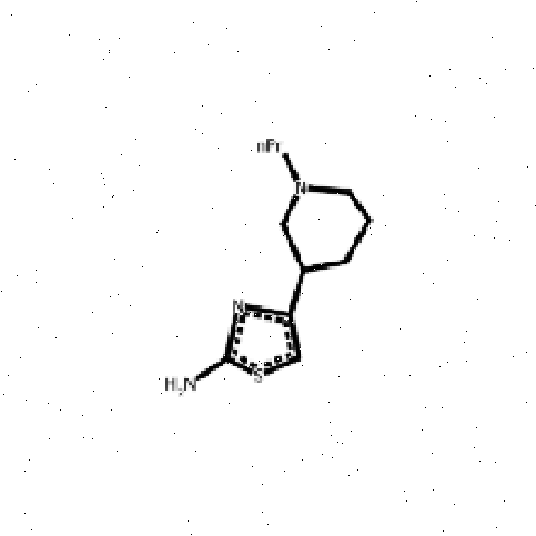 CCCN1CCCC(c2csc(N)n2)C1